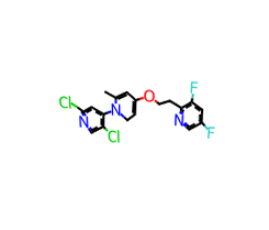 CC1=CC(OCCc2ncc(F)cc2F)=CCN1c1cc(Cl)ncc1Cl